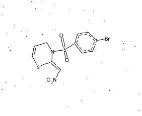 O=[N+]([O-])C=C1SC=CCN1S(=O)(=O)c1ccc(Br)cc1